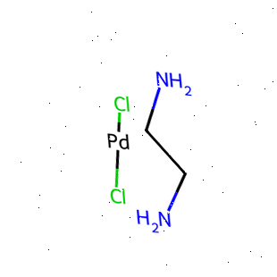 NCCN.[Cl][Pd][Cl]